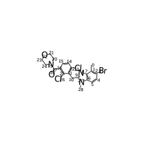 Cc1c(Br)ccc2c1nc(Cc1c(Cl)ccc(C(=O)N3CCOCC3)c1Cl)n2C